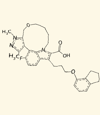 Cc1nn(C)c2c1-c1c(F)ccc3c(CCCOc4cccc5c4CCC5)c(C(=O)O)n(c13)CCCCOC2